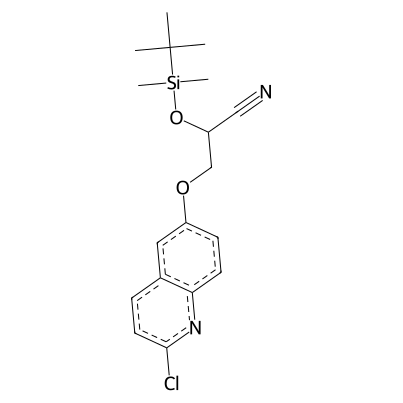 CC(C)(C)[Si](C)(C)OC(C#N)COc1ccc2nc(Cl)ccc2c1